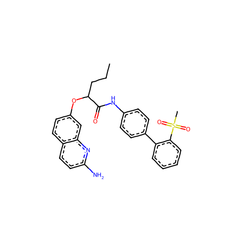 CCCC(Oc1ccc2ccc(N)nc2c1)C(=O)Nc1ccc(-c2ccccc2S(C)(=O)=O)cc1